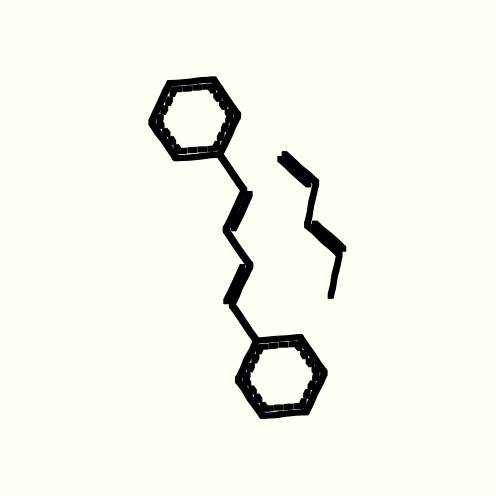 C(C=Cc1ccccc1)=Cc1ccccc1.C=CC=CC